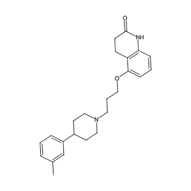 Cc1cccc(C2CCN(CCCOc3cccc4c3CCC(=O)N4)CC2)c1